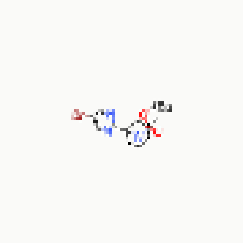 CC1CC2CC(c3ncc(Br)cn3)(C1)N2C(=O)OC(C)(C)C